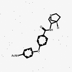 CC(=O)Nc1ccc(Oc2ccc(C(=O)NC3CN4CC[C@H]3C4)cc2)cc1